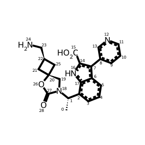 C[C@@H](c1cccc2c(-c3cccnc3)c(C(=O)O)[nH]c12)N1C[C@]2(C[C@@H](CN)C2)OC1=O